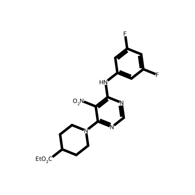 CCOC(=O)C1CCN(c2ncnc(Nc3cc(F)cc(F)c3)c2[N+](=O)[O-])CC1